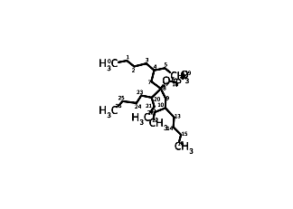 CCCCC(CC)CC(CC(CC)CCCC)(OP=O)C(CC)CCCC